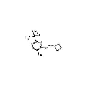 Cc1cnc(C(C)(P)I)nc1OCC1COC1